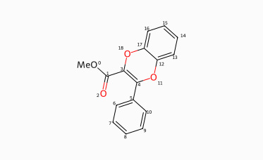 COC(=O)C1=C(c2ccccc2)Oc2ccccc2O1